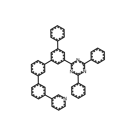 c1ccc(-c2cc(-c3cccc(-c4cccc(-c5cccnc5)c4)c3)cc(-c3nc(-c4ccccc4)nc(-c4ccccc4)n3)c2)cc1